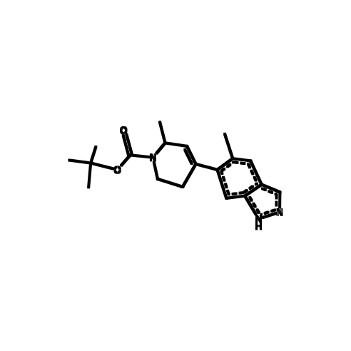 Cc1cc2cn[nH]c2cc1C1=CC(C)N(C(=O)OC(C)(C)C)CC1